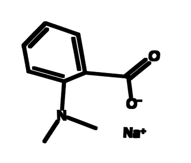 CN(C)c1ccccc1C(=O)[O-].[Na+]